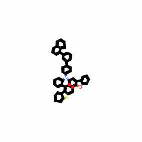 c1cc(-c2ccc(N(c3ccc4oc5ccccc5c4c3)c3ccccc3-c3cccc4sc5ccccc5c34)cc2)cc(-c2cccc3ccccc23)c1